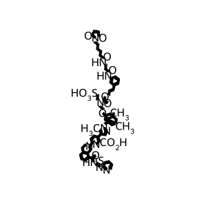 Cc1c(-c2ccc(N3CCc4cccc(C(=O)Nc5nc6ncccc6s5)c4C3)nc2C(=O)O)cnn1CC12CC3(C)CC(C)(C1)CC(OCCN(CCS(=O)(=O)O)C(=O)OC/C=C/c1cc[c]c(NC(=O)CCNC(=O)CCCCCN4C(=O)C=CC4=O)c1)(C3)C2